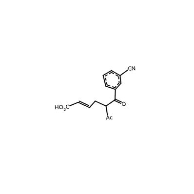 CC(=O)C(CC=CC(=O)O)C(=O)c1cccc(C#N)c1